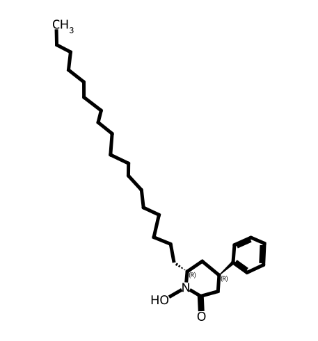 CCCCCCCCCCCCCCCCCC[C@@H]1C[C@@H](c2ccccc2)CC(=O)N1O